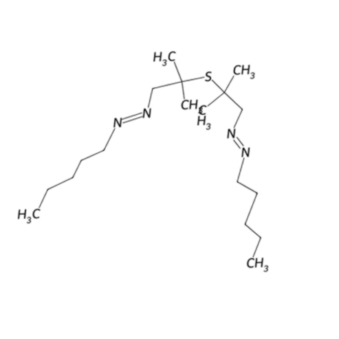 CCCCCN=NCC(C)(C)SC(C)(C)CN=NCCCCC